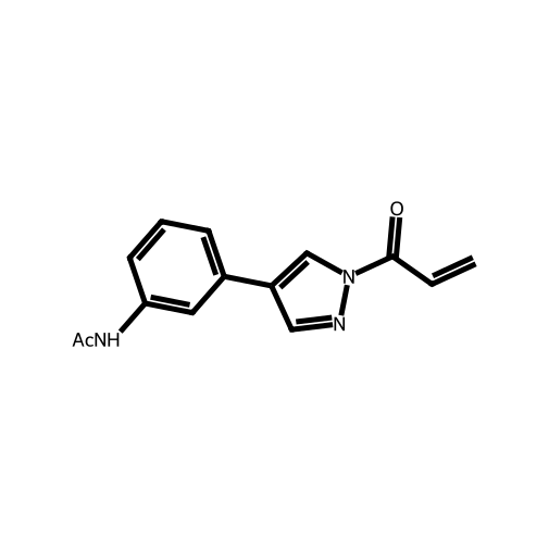 C=CC(=O)n1cc(-c2cccc(NC(C)=O)c2)cn1